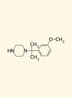 COc1cccc(C(C)(C)N2CCNCC2)c1